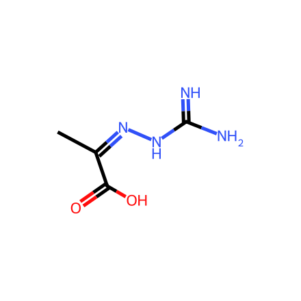 CC(=NNC(=N)N)C(=O)O